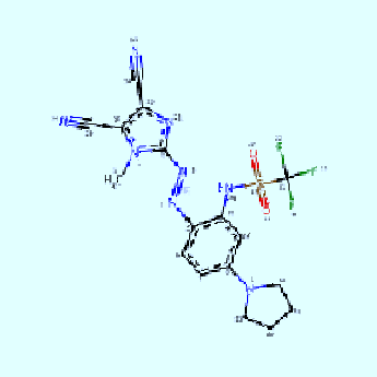 Cn1c(/N=N/c2ccc(N3CCCC3)cc2NS(=O)(=O)C(F)(F)F)nc(C#N)c1C#N